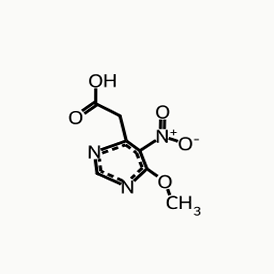 COc1ncnc(CC(=O)O)c1[N+](=O)[O-]